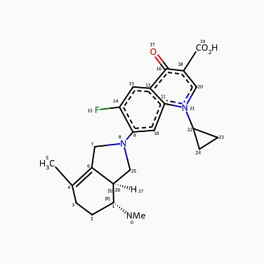 CN[C@@H]1CCC(C)=C2CN(c3cc4c(cc3F)c(=O)c(C(=O)O)cn4C3CC3)C[C@H]21